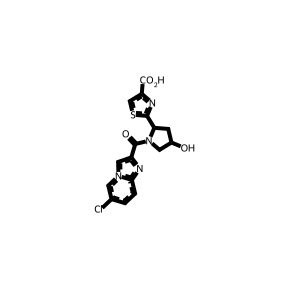 O=C(O)c1csc(C2CC(O)CN2C(=O)c2cn3cc(Cl)ccc3n2)n1